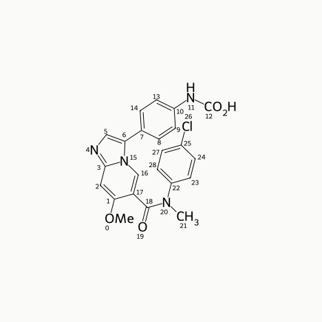 COc1cc2ncc(-c3ccc(NC(=O)O)cc3)n2cc1C(=O)N(C)c1ccc(Cl)cc1